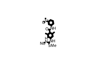 CSC(NC#N)Nc1cc(C)c(C(=O)Nc2cccc([S+](C)[O-])c2)c(C)c1